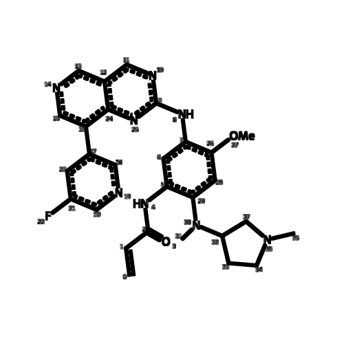 C=CC(=O)Nc1cc(Nc2ncc3cncc(-c4cncc(F)c4)c3n2)c(OC)cc1N(C)C1CCN(C)C1